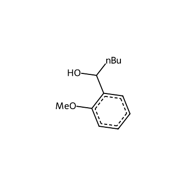 CCCCC(O)c1ccccc1OC